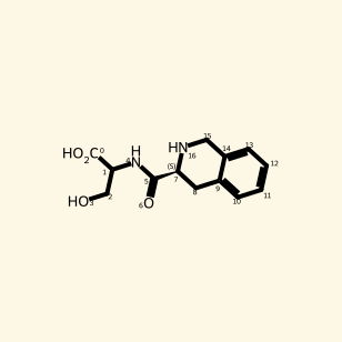 O=C(O)C(CO)NC(=O)[C@@H]1Cc2ccccc2CN1